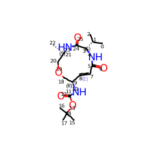 CC(C)[C@@H]1NC(=O)/C=C/[C@@H](NC(=O)OC(C)(C)C)COC[C@H](C)NC1=O